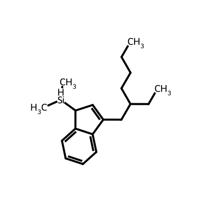 CCCCC(CC)CC1=CC([SiH](C)C)c2ccccc21